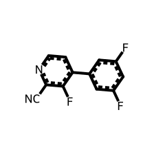 N#Cc1nccc(-c2cc(F)cc(F)c2)c1F